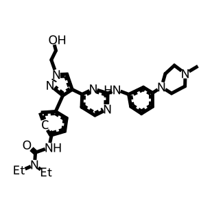 CCN(CC)C(=O)Nc1ccc(-c2nn(CCO)cc2-c2ccnc(Nc3cccc(N4CCN(C)CC4)c3)n2)cc1